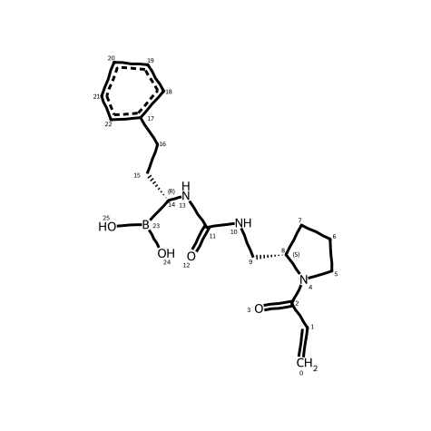 C=CC(=O)N1CCC[C@H]1CNC(=O)N[C@@H](CCc1ccccc1)B(O)O